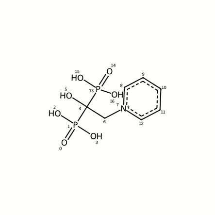 O=P(O)(O)C(O)(C[n+]1ccccc1)P(=O)(O)O